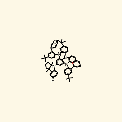 CC(C)(C)c1ccc(N2c3ccccc3B3c4ccc5cc4N(c4ccc(C(C)(C)C)cc4-c4ccc(cc4)C5(C)C)c4cc(N5c6ccc(F)cc6C6(C)CCCC56C)cc2c43)c(-c2ccccc2)c1